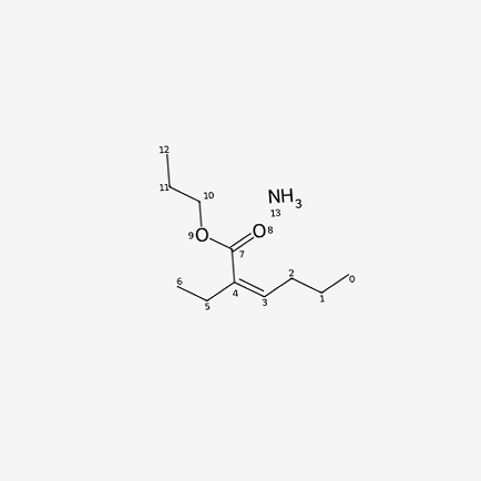 CCCC=C(CC)C(=O)OCCC.N